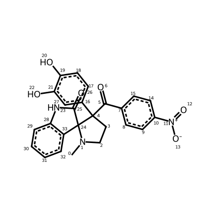 CN1CCC(C(=O)c2ccc([N+](=O)[O-])cc2)(c2ccc(O)c(O)c2)C12C(=O)Nc1ccccc12